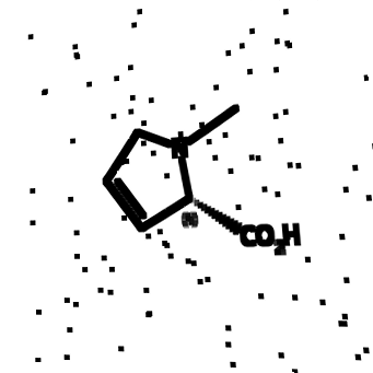 CN1CC=C[C@H]1C(=O)O